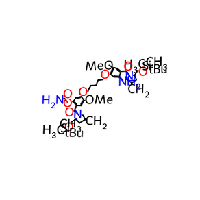 C=C1CC(CO[Si](C)(C)C(C)(C)C)N(C(=O)c2cc(OC)c(OCCCCCOc3cc(OC(N)=O)c(C(=O)N4CC(=C)CC4CO[Si](C)(C)C(C)(C)C)cc3OC)cc2N)C1